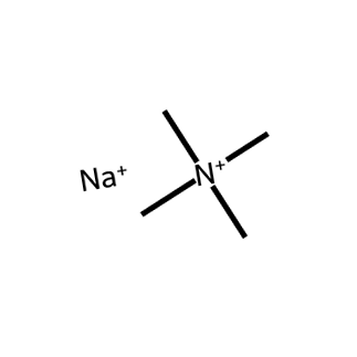 C[N+](C)(C)C.[Na+]